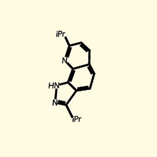 CC(C)c1ccc2ccc3c(C(C)C)n[nH]c3c2n1